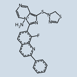 N[N+]12C=CN=CC1=C(SN1CSC=N1)N=C2c1ccc2ccc(-c3ccccc3)nc2c1F